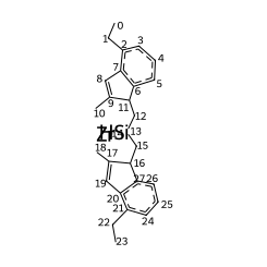 CCc1cccc2c1C=C(C)C2C[SiH]([Zr])CC1C(C)=Cc2c(CC)cccc21